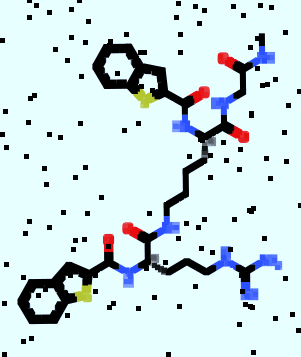 CNC(=O)CNC(=O)[C@H](CCCCNC(=O)[C@H](CCCNC(=N)N)NC(=O)c1cc2ccccc2s1)NC(=O)c1cc2ccccc2s1